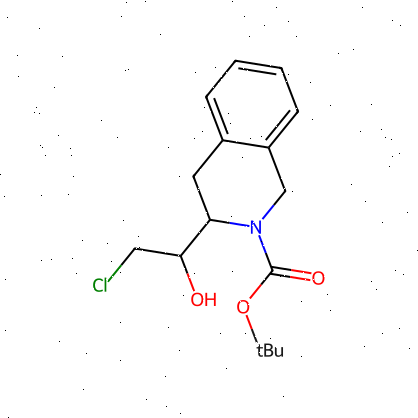 CC(C)(C)OC(=O)N1Cc2ccccc2CC1C(O)CCl